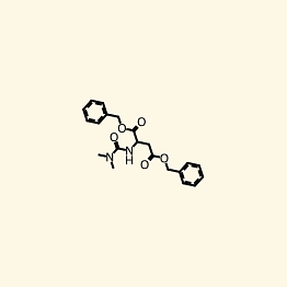 CN(C)C(=O)NC(CC(=O)OCc1ccccc1)C(=O)OCc1ccccc1